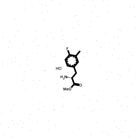 COC(=O)[C@H](N)Cc1ccc(F)c(C)c1.Cl